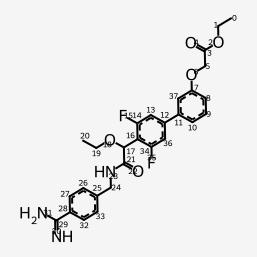 CCOC(=O)COc1cccc(-c2cc(F)c(C(OCC)C(=O)NCc3ccc(C(=N)N)cc3)c(F)c2)c1